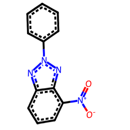 O=[N+]([O-])c1cccc2nn(-c3ccccc3)nc12